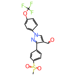 CS(=O)(=O)c1ccc(-c2nn(-c3ccc(OC(F)(F)F)cc3)cc2C=O)cc1